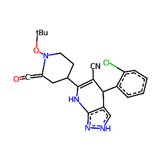 CC(C)(C)ON1CCC(C2=C(C#N)C(c3ccccc3Cl)c3c[nH]nc3N2)CC1=C=O